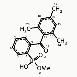 COP(=O)(O)c1ccccc1C(=O)c1c(C)cc(C)cc1C